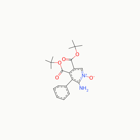 CC(C)(C)OC(=O)c1c[n+]([O-])c(N)c(-c2ccccc2)c1C(=O)OC(C)(C)C